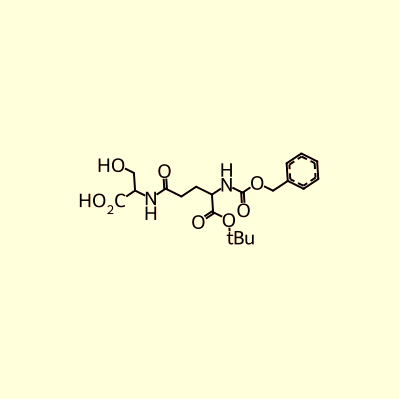 CC(C)(C)OC(=O)C(CCC(=O)NC(CO)C(=O)O)NC(=O)OCc1ccccc1